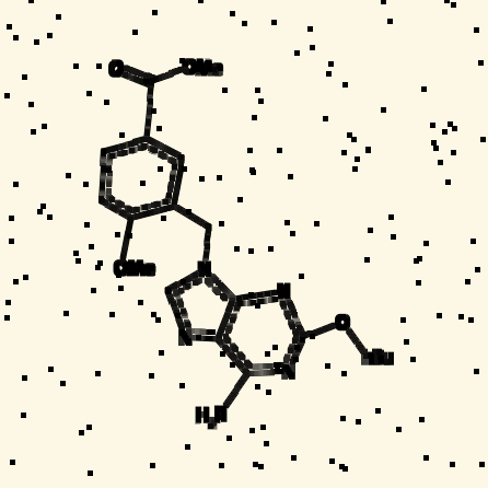 CCCCOc1nc(N)c2ncn(Cc3cc(C(=O)OC)ccc3OC)c2n1